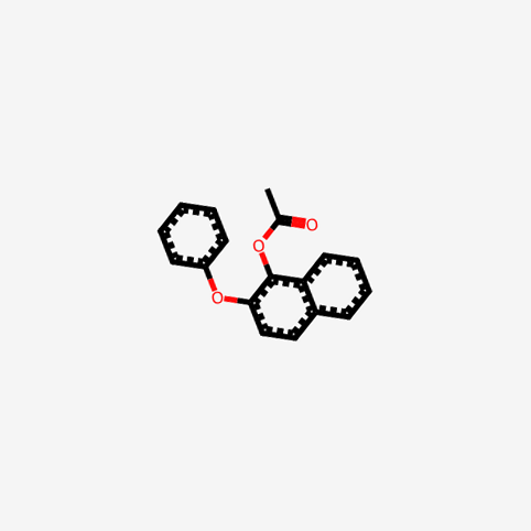 CC(=O)Oc1c(Oc2ccccc2)ccc2ccccc12